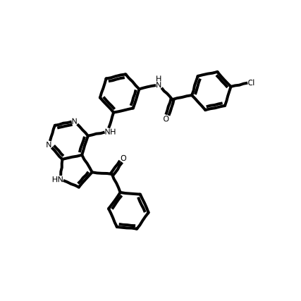 O=C(Nc1cccc(Nc2ncnc3[nH]cc(C(=O)c4ccccc4)c23)c1)c1ccc(Cl)cc1